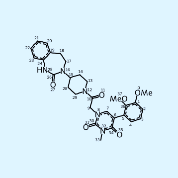 COc1cccc(-c2cn(CC(=O)N3CCC(N4CCc5ccccc5NC4=O)CC3)c(=O)n(C)c2=O)c1OC